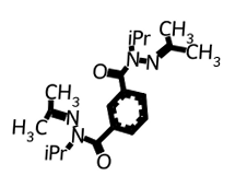 CC(C)=NN(C(=O)c1cccc(C(=O)N(N=C(C)C)C(C)C)c1)C(C)C